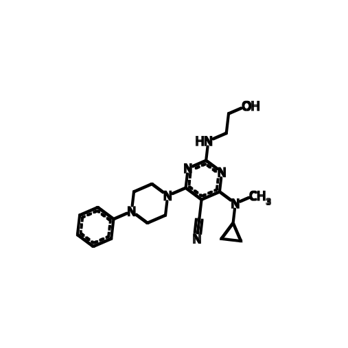 CN(c1nc(NCCO)nc(N2CCN(c3ccccc3)CC2)c1C#N)C1CC1